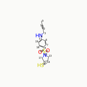 CC#CCNc1ccc(S(=O)(=O)N2CCC(S)C2)cc1